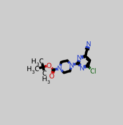 CC(C)(C)OC(=O)N1CCN(c2nc(Cl)cc(C#N)n2)CC1